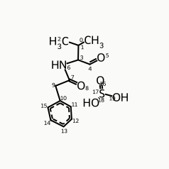 CC(C)C(C=O)NC(=O)Cc1ccccc1.O=S(O)O